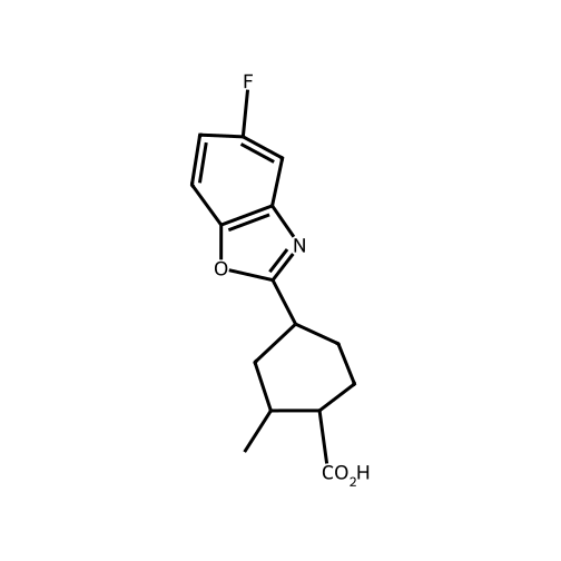 CC1CC(c2nc3cc(F)ccc3o2)CCC1C(=O)O